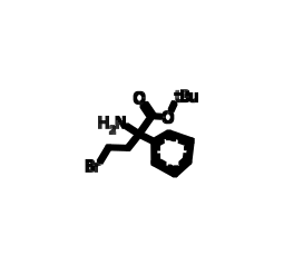 CC(C)(C)OC(=O)C(N)(CCBr)c1ccccc1